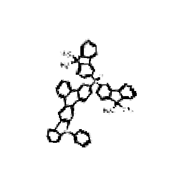 CC1(C)c2ccccc2-c2cc(P(=O)(c3ccc4c(c3)-c3ccccc3C4(C)C)c3ccc4c(c3)c3ccccc3c3cc5c6ccccc6n(-c6ccccc6)c5cc43)ccc21